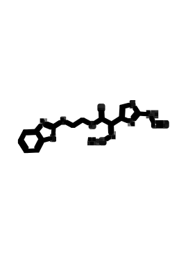 CON=C(C(=O)OCCSc1nc2ccccc2s1)c1csc(NC=O)n1